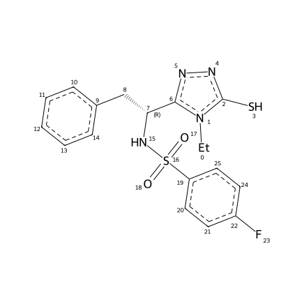 CCn1c(S)nnc1[C@@H](Cc1ccccc1)NS(=O)(=O)c1ccc(F)cc1